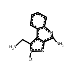 CCn1nc2c(N)nc3ccccc3c2c1CN